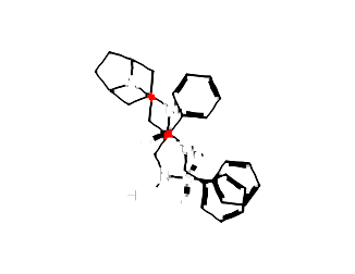 CN(C[C@@](C)(CCN1C2CCC1CC(NC(=O)OCc1ccccc1)C2)c1ccccc1)S(=O)(=O)c1ccccc1